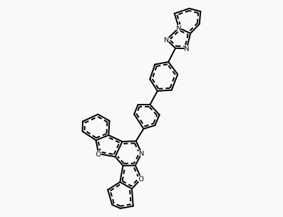 c1ccc2c(c1)oc1c2c(-c2ccc(-c3ccc(-c4nc5ccccn5n4)cc3)cc2)nc2oc3ccccc3c21